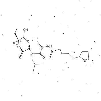 CC[C@]1(C(=O)O)O[C@@H]1C(=O)N[C@@H](CC(C)C)C(=O)N(C)NC(=O)CCCCC1CCSS1